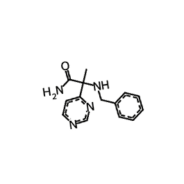 CC(NCc1ccccc1)(C(N)=O)c1ccncn1